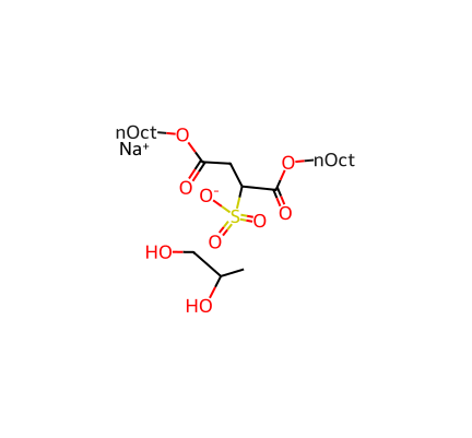 CC(O)CO.CCCCCCCCOC(=O)CC(C(=O)OCCCCCCCC)S(=O)(=O)[O-].[Na+]